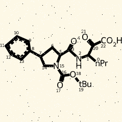 CCCC(NC(=O)C1CC(c2ccccc2)CN1C(=O)OC(C)(C)C)C(=O)C(=O)O